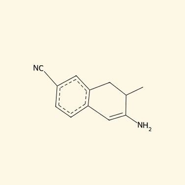 CC1Cc2cc(C#N)ccc2C=C1N